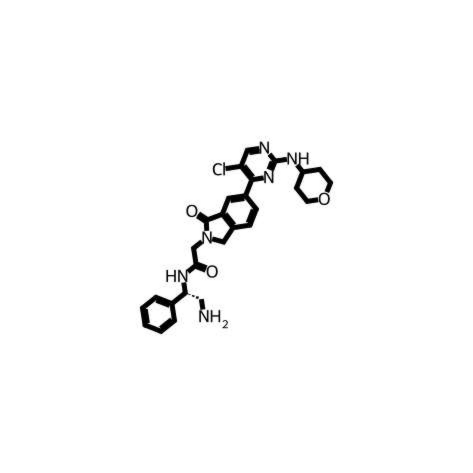 NC[C@@H](NC(=O)CN1Cc2ccc(-c3nc(NC4CCOCC4)ncc3Cl)cc2C1=O)c1ccccc1